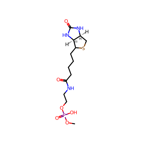 COP(=O)(O)OCCNC(=O)CCCCC1SC[C@@H]2NC(=O)N[C@H]12